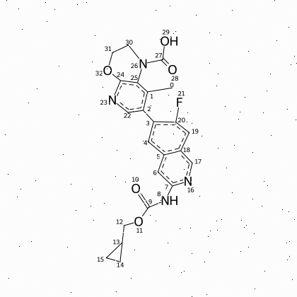 Cc1c(-c2cc3cc(NC(=O)OCC4CC4)ncc3cc2F)cnc2c1N(C(=O)O)CCO2